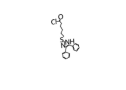 O=C(Cl)CCCCCSc1nc(-c2ccccc2)c(-c2ccccc2)[nH]1